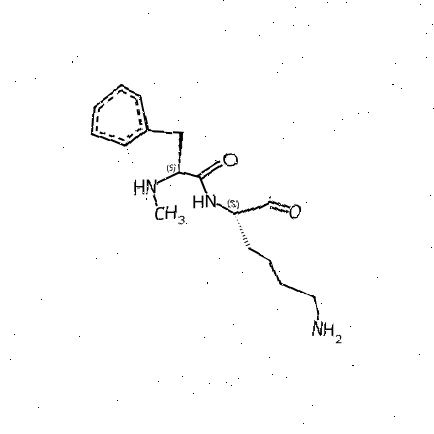 CN[C@@H](Cc1ccccc1)C(=O)N[C@H]([C]=O)CCCCN